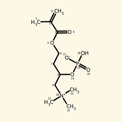 C=C(C)C(=O)OCCC(C[N+](C)(C)C)OP(=O)([O-])O